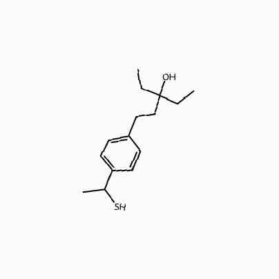 CCC(O)(CC)CCc1ccc(C(C)S)cc1